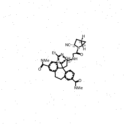 CCc1nnc(C2(C[C@H](C)NCC(=O)N3[C@H](C#N)C[C@@H]4C[C@@H]43)c3ccc(C(=O)NC)cc3CCc3cc(C(=O)NC)ccc32)o1